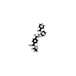 N=C(NC(=O)C(F)(F)F)c1ccc(C(=O)NC[C@H]2COCCN2C(=O)C2CCOCC2)cc1